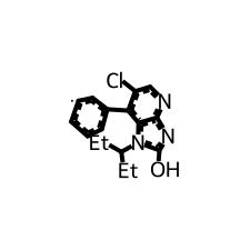 CCC(CC)n1c(O)nc2ncc(Cl)c(-c3c[c]ccc3)c21